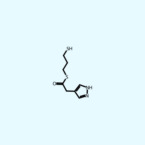 O=C(Cc1cn[nH]c1)SCCCS